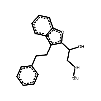 CC(C)(C)NCC(O)c1oc2ccccc2c1CCc1ccccc1